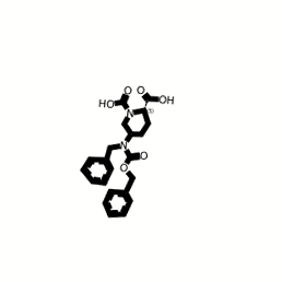 O=C(O)[C@@H]1CCC(N(Cc2ccccc2)C(=O)OCc2ccccc2)CN1C(=O)O